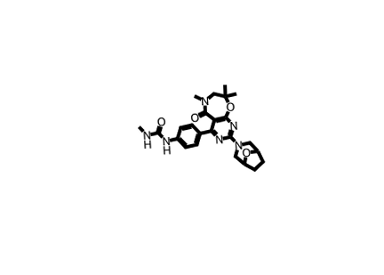 CNC(=O)Nc1ccc(-c2nc(N3CC4CCC(C3)O4)nc3c2C(=O)N(C)CC(C)(C)O3)cc1